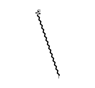 C[Si](C)(Cl)CCCCCCCCCCCCCCCCCCCCCCCCCCCCCCI